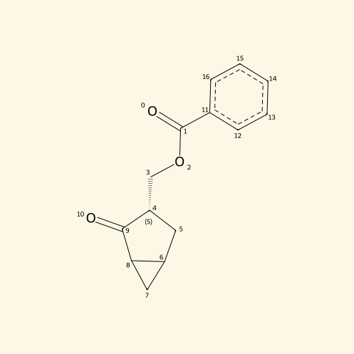 O=C(OC[C@@H]1CC2CC2C1=O)c1ccccc1